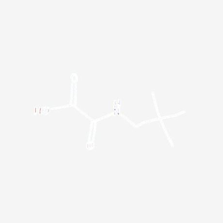 CC(C)(C)CNC(=O)C(=O)O